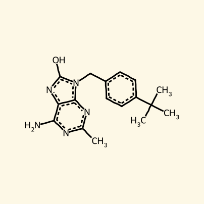 Cc1nc(N)c2nc(O)n(Cc3ccc(C(C)(C)C)cc3)c2n1